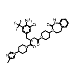 Cc1cn(C2CCN(C(=O)[C@H](CC(=O)N3CCC(N4CCc5ccccc5NC4=O)CC3)Cc3cc(Cl)c(N)c(C(F)(F)F)c3)CC2)cn1